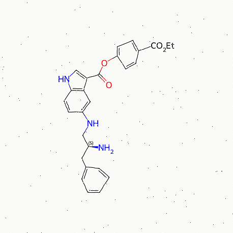 CCOC(=O)c1ccc(OC(=O)c2c[nH]c3ccc(NC[C@@H](N)Cc4ccccc4)cc23)cc1